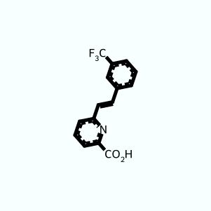 O=C(O)c1cccc(C=Cc2cccc(C(F)(F)F)c2)n1